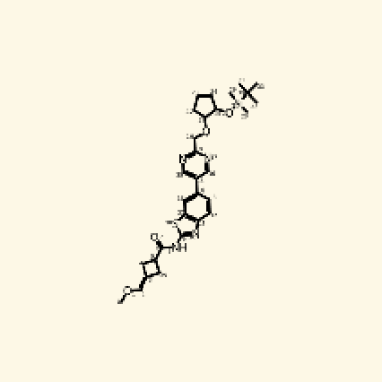 COC=C1CC(C(=O)Nc2nc3ccc(-c4cnc(CO[C@H]5CCCC5O[Si](C)(C)C(C)(C)C)nc4)cc3s2)C1